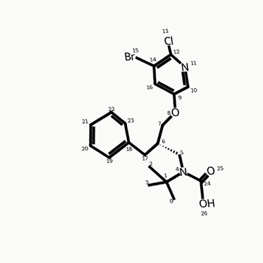 CC(C)(C)N(C[C@@H](COc1cnc(Cl)c(Br)c1)Cc1ccccc1)C(=O)O